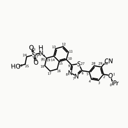 CC(C)Oc1ccc(-c2nnc(-c3cccc4c3CCC[C@H]4NS(=O)(=O)CCO)s2)cc1C#N